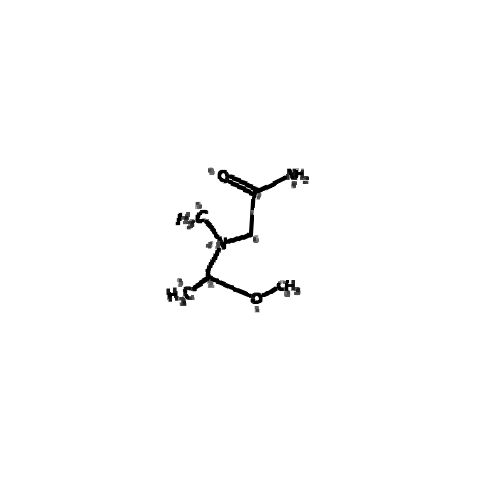 COC(C)N(C)CC(N)=O